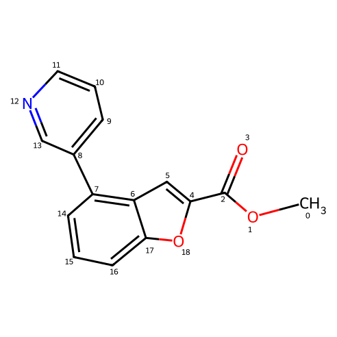 COC(=O)c1cc2c(-c3cccnc3)cccc2o1